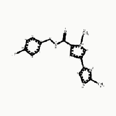 Cc1nc(-c2cc(C(=O)NCc3ccc(F)cc3)n(C)c2)cs1